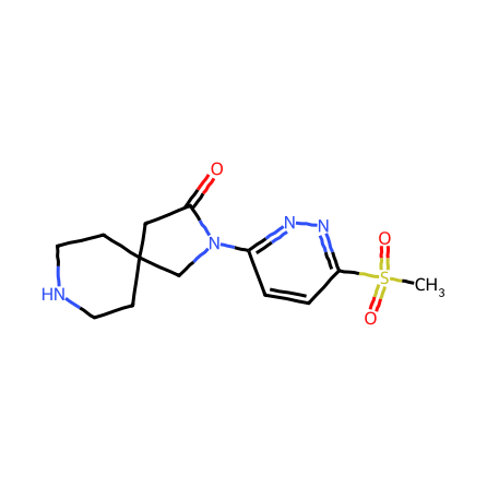 CS(=O)(=O)c1ccc(N2CC3(CCNCC3)CC2=O)nn1